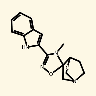 CN1C(c2cc3ccccc3[nH]2)=NOC12CN1CCC2CC1